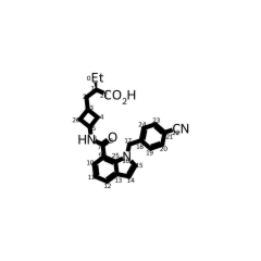 CC[C@H](CC1CC(NC(=O)c2cccc3ccn(Cc4ccc(C#N)cc4)c23)C1)C(=O)O